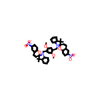 COc1cc(CN2c3ccccc3C(C)(C)C23C=Cc2cc([N+](=O)[O-])ccc2O3)c(OC)cc1CN1c2ccccc2C(C)(C)C12C=Cc1cc([N+](=O)[O-])ccc1O2